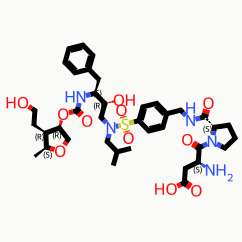 CC(C)CN(C[C@@H](O)[C@H](Cc1ccccc1)NC(=O)O[C@H]1CO[C@@H](C)[C@H]1CCO)S(=O)(=O)c1ccc(CNC(=O)[C@@H]2CCCN2C(=O)[C@@H](N)CC(=O)O)cc1